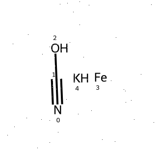 N#CO.[Fe].[KH]